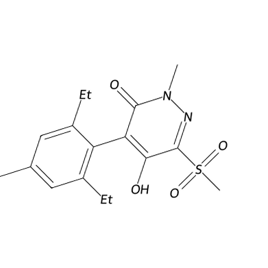 CCc1cc(C)cc(CC)c1-c1c(O)c(S(C)(=O)=O)nn(C)c1=O